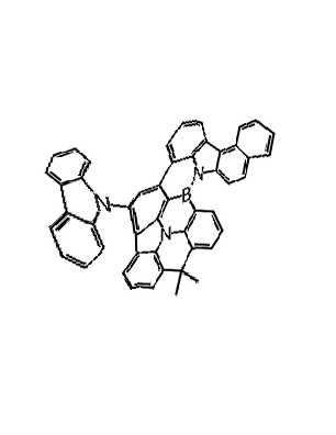 CC1(C)c2cccc3c2-n2c4c1cccc4c1c(-n4c5ccccc5c5ccccc54)cc4c(c12)B3n1c2ccc3ccccc3c2c2cccc-4c21